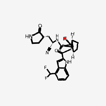 N#C[C@H](C[C@@H]1CCNC1=O)NC(=O)[C@H]1[C@H]2CC[C@H](CC2(F)F)N1C(=O)c1cc2c(C(F)F)cccc2[nH]1